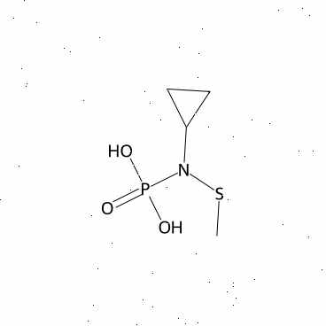 CSN(C1CC1)P(=O)(O)O